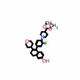 COC(OC)C1CCN(c2ccc(C3=C(C4CCOCC4)CCc4cc(O)ccc43)cc2F)CC1